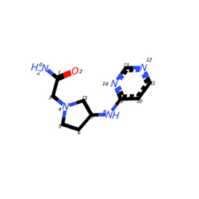 NC(=O)CN1CCC(Nc2ccncn2)C1